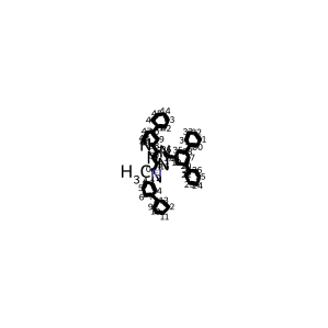 C/C(=N\c1cccc(-c2ccccc2)c1)c1nc(-c2cc(-c3ccccc3)cc(-c3ccccc3)c2)nc(-c2cc(-c3ccccc3)ccn2)n1